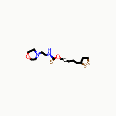 S=C(NCCN1CCOCC1)OCCCCCC1CCSS1